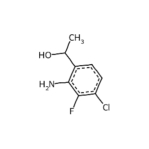 CC(O)c1ccc(Cl)c(F)c1N